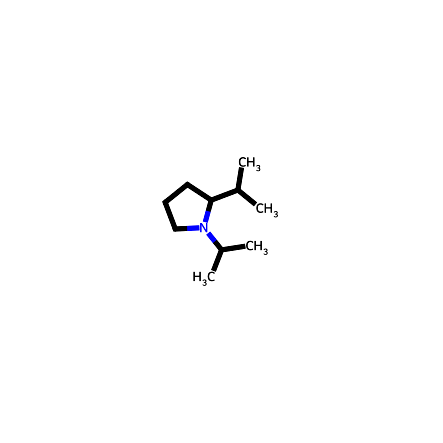 CC(C)C1CCCN1C(C)C